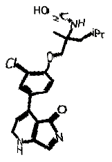 CC(C)CC(C)(COc1ccc(C2=CCNC3=C2C(=O)N=C3)cc1Cl)NC(=O)O